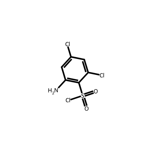 Nc1cc(Cl)cc(Cl)c1S(=O)(=O)Cl